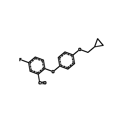 O=Cc1cc(F)ccc1Oc1ccc(OCC2CC2)cc1